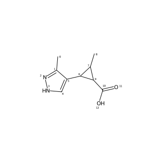 Cc1n[nH]cc1C1C(C)C1C(=O)O